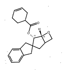 O=C(O[C@@H]1[C@@H]2OCC2CC12Cc1ccccc1C2)C1CC=CCC1